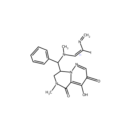 C=N/C(I)=C\N(C)C(c1ccccc1)C1CN(C)C(=O)c2c(O)c(=O)cnn21